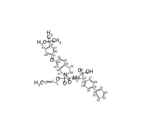 CC#CCOC(=O)[N+]1(C(=O)NCC(C(=O)O)c2ccc(-c3ccccc3)cc2)CCc2ccc(Oc3ccc(C(C)(C)C)cc3)cc2C1